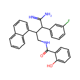 N=C(N)C(c1cccc(F)c1)C(CNC(=O)c1ccccc1O)c1cccc2ccccc12